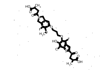 COc1c(OCCCOc2c(O)c(Cl)c3sc(C(=O)CC(C)C(=O)O)cc3c2F)cc2c(c1F)CN(C(=O)CC(C)C(=O)O)C2